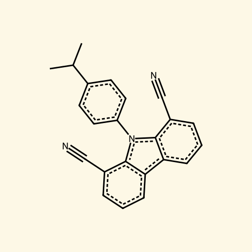 CC(C)c1ccc(-n2c3c(C#N)cccc3c3cccc(C#N)c32)cc1